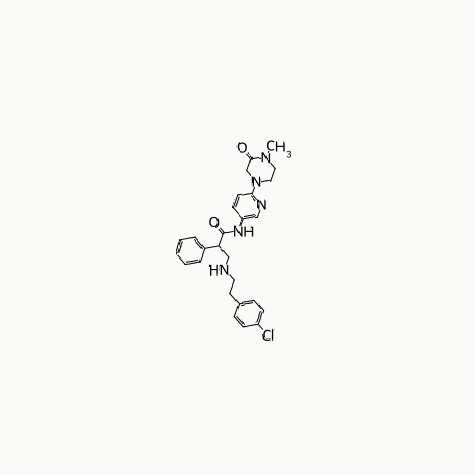 CN1CCN(c2ccc(NC(=O)C(CNCCc3ccc(Cl)cc3)c3ccccc3)cn2)CC1=O